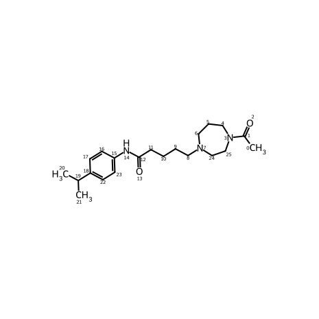 CC(=O)N1CCCN(CCCCC(=O)Nc2ccc(C(C)C)cc2)CC1